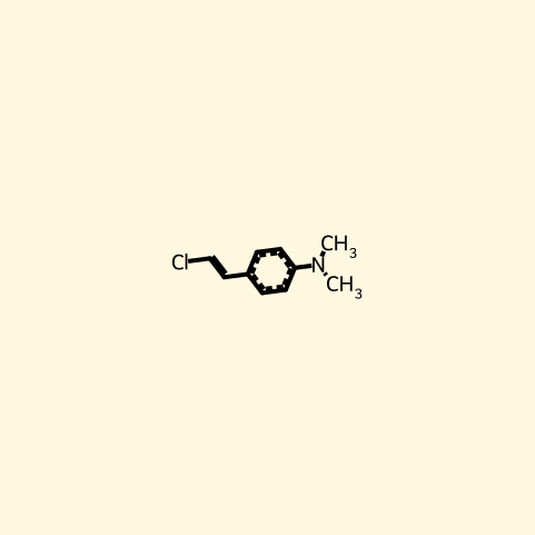 CN(C)c1ccc(C=CCl)cc1